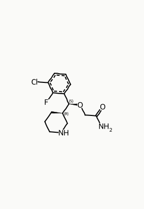 NC(=O)CO[C@H](c1cccc(Cl)c1F)[C@@H]1CCCNC1